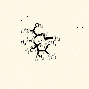 C=CNC(C(C)C)N(C)C(C)(C)C(C)C(C)C